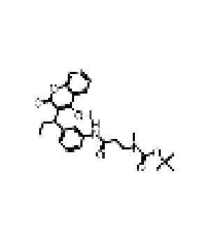 CCC(c1cccc(NC(=O)CCNC(=O)OC(C)(C)C)c1)c1c(O)c2ccccc2oc1=O